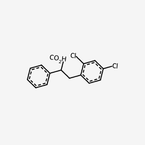 O=C(O)C(Cc1ccc(Cl)cc1Cl)c1ccccc1